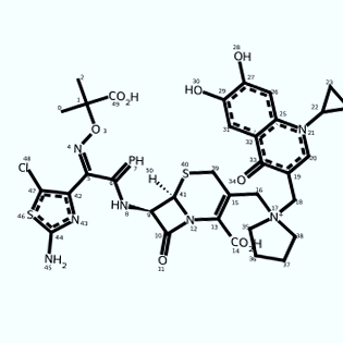 CC(C)(O/N=C(\C(=P)N[C@@H]1C(=O)N2C(C(=O)O)=C(C[N+]3(Cc4cn(C5CC5)c5cc(O)c(O)cc5c4=O)CCCC3)CS[C@H]12)c1nc(N)sc1Cl)C(=O)O